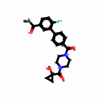 CNC(=O)c1ccc(F)c(-c2ccc(C(=O)N3CCN(C(=O)C4(O)CC4)CC3)cc2)c1